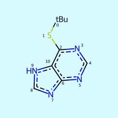 CC(C)(C)Sc1ncnc2nc[nH]c12